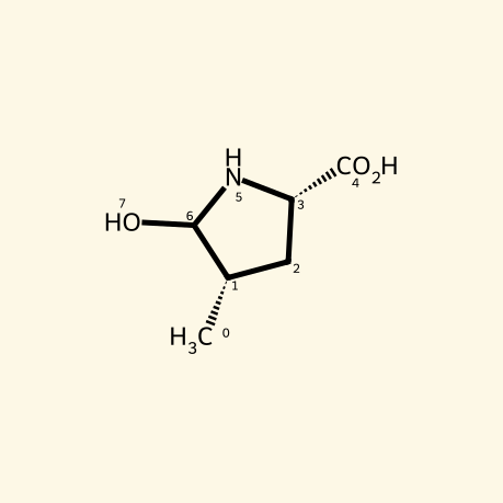 C[C@H]1C[C@@H](C(=O)O)NC1O